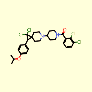 CC(C)Oc1ccc(C2C(Cl)(Cl)C23CCN(C2CCN(C(=O)c4cccc(Cl)c4Cl)CC2)CC3)cc1